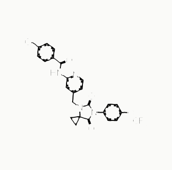 O=C(Nc1cc(CN2C(=O)N(c3ccc(OC(F)(F)F)cc3)C(=O)C23CC3)ccn1)c1ccc(Cl)cc1